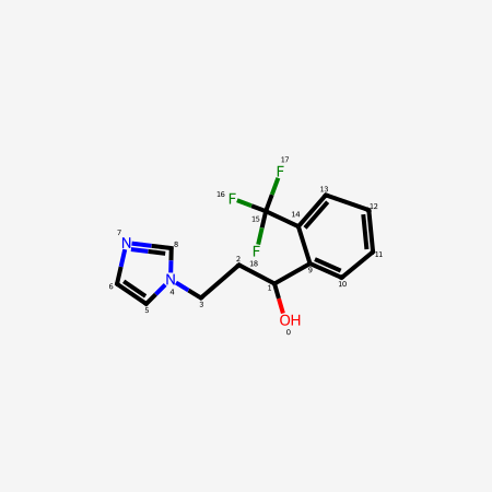 OC(CCn1ccnc1)c1ccccc1C(F)(F)F